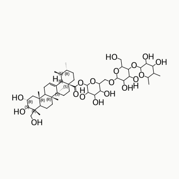 CC1OC(OC2C(CO)OC(OCC3OC(OC(=O)[C@]45CC[C@@H](C)[C@H](C)[C@@H]4C4=CCC6[C@@]7(C)C[C@@H](O)[C@@H](O)[C@@](C)(CO)C7CC[C@@]6(C)[C@]4(C)CC5)C(O)C(O)C3O)C(O)C2O)C(O)C(O)C1C